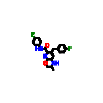 CC1COc2nc(C(=O)Nc3ccc(F)cc3)c(Cc3ccc(F)cc3)cc2N1